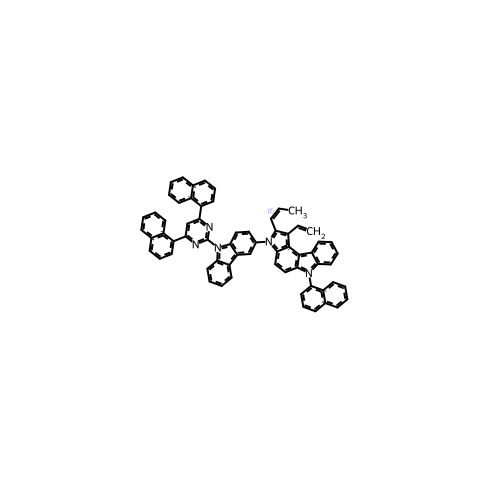 C=Cc1c(/C=C\C)n(-c2ccc3c(c2)c2ccccc2n3-c2nc(-c3cccc4ccccc34)cc(-c3cccc4ccccc34)n2)c2ccc3c(c4ccccc4n3-c3cccc4ccccc34)c12